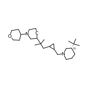 CC(C)(CC1CC1CN1CCC[C@@H](C(C)(C)C)C1)C1CCCN(C2CCOCC2)C1